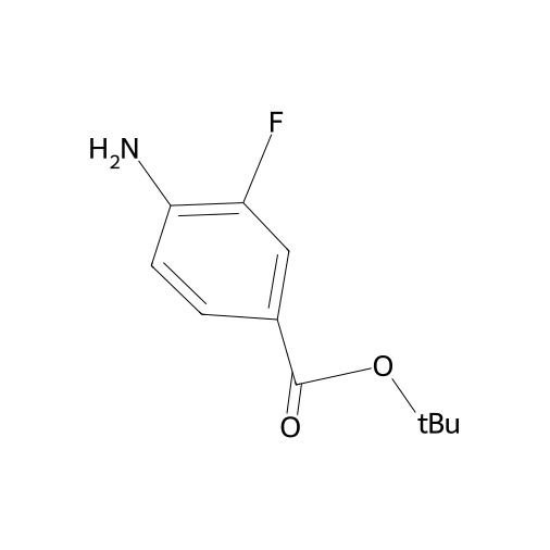 CC(C)(C)OC(=O)c1ccc(N)c(F)c1